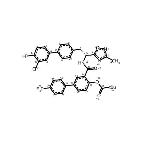 Cc1noc([C@@H](Cc2ccc(-c3ccc(F)c(Cl)c3)cc2)NC(=O)c2cc(-c3ccc(C(F)(F)F)cc3)ccc2OC(=O)C(C)(C)C)n1